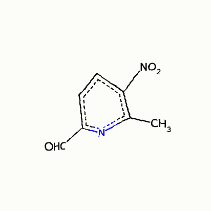 Cc1nc(C=O)ccc1[N+](=O)[O-]